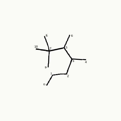 CCCC(C)C(C)C(C)(C)C